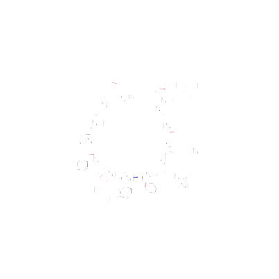 CCCC[C@H]1C(=O)NC(C)(C)C(=O)N[C@@H](CC2CCCCC2)C(=O)N[C@@H](Cc2ccc(F)cc2)C(=O)N[C@H](CC(=O)O)C(=O)N[C@@H](Cc2ccc(O)cc2)C(=O)N[C@@H](Cc2ccc(O)cc2)C(=O)N[C@@H](CCCNC(N)=O)C(=O)N[C@H](CCCCN)C(=O)N[C@@H](CC2CCCCC2)C(=O)N[C@H](C(=O)N[C@H](CCC(=O)O)C(=O)O)CSCC(=O)N(C)[C@@H](CCC(=O)O)C(=O)N1C